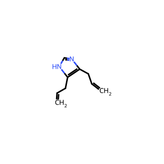 C=CCc1nc[nH]c1CC=C